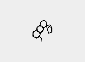 CCc1cccc2cc3c(cc12)C1(CCC3)CC2=CCC1C2